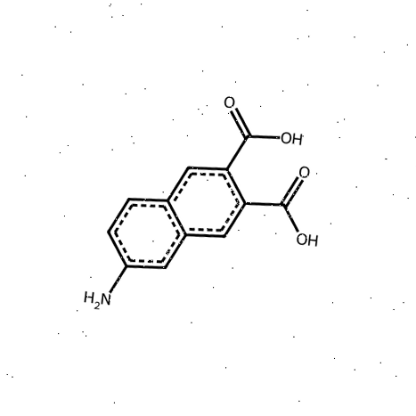 Nc1ccc2cc(C(=O)O)c(C(=O)O)cc2c1